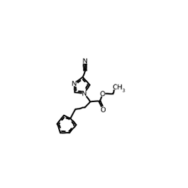 CCOC(=O)C(CCc1ccccc1)n1cnc(C#N)c1